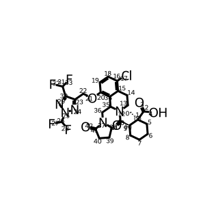 C[C@]1(C(=O)O)CCCC[C@H]1C(=O)N1CCc2c(Cl)ccc(OCc3nn(C(F)F)nc3C(F)F)c2C1CN1CCCC1=O